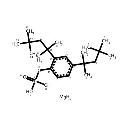 CC(C)(C)CC(C)(C)c1ccc(OP(=O)(O)O)c(C(C)(C)CC(C)(C)C)c1.[MgH2]